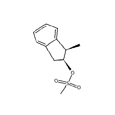 C[C@@H]1c2ccccc2C[C@@H]1OS(C)(=O)=O